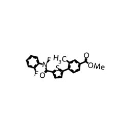 COC(=O)c1ccc(-c2ccc(C(=O)N(F)c3ccccc3F)s2)c(C)c1